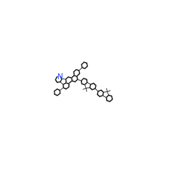 CC1(C)c2ccccc2-c2ccc(-c3ccc4c(c3)C(C)(C)c3cc(-c5cc6c7ccc(-c8ccccc8)c8c7c(cc6c6ccc(-c7ccccc7)cc56)-c5ncccc5-8)ccc3-4)cc21